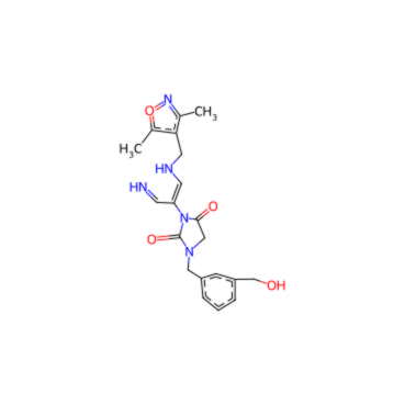 Cc1noc(C)c1CN/C=C(\C=N)N1C(=O)CN(Cc2cccc(CO)c2)C1=O